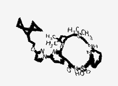 CC1(C)CC2CN1c1nc(-n3ccc(OCCC4C5(CC5)C45CC5)n3)ccc1C(=O)NS(=O)(=O)c1cccc(n1)NCS(C)(C)C2